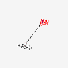 CC(C)(C)OCCCCCCCCCCCCCCCCOOP(=O)(O)O